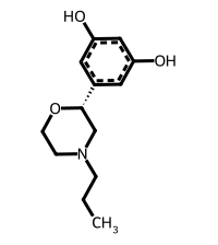 CCCN1CCO[C@H](c2cc(O)cc(O)c2)C1